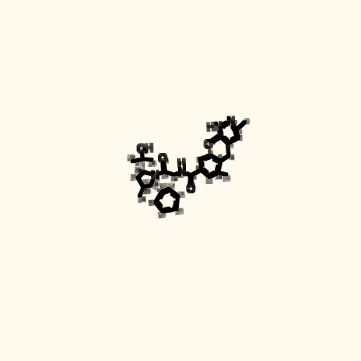 Cc1cc(Cc2ccc(C(=O)NCC(=O)N3[C@H](c4ccccc4)[C@@H](C)C[C@@H]3C(C)(C)O)cc2C)c(=O)[nH]n1